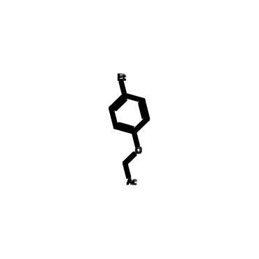 CCc1ccc(OCC(C)=O)cc1